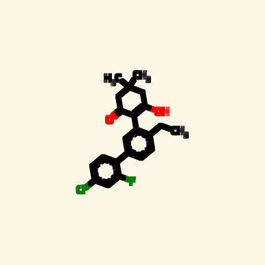 CCc1ccc(-c2ccc(Cl)cc2F)cc1C1=C(O)CC(C)(C)CC1=O